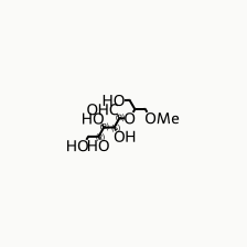 COCC(CO)O[C@@H](C=O)[C@@H](O)[C@H](O)[C@H](O)CO